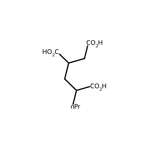 CCCC(CC(CC(=O)O)C(=O)O)C(=O)O